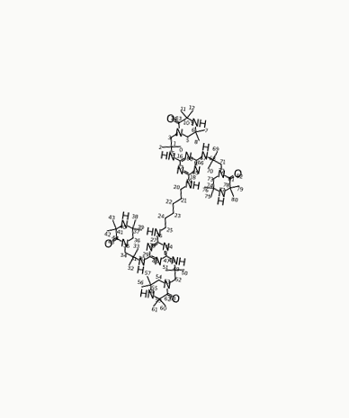 CC(C)(CN1CC(C)(C)NC(C)(C)C1=O)Nc1nc(NCCCCCCNc2nc(NC(C)(C)CN3CC(C)(C)NC(C)(C)C3=O)nc(NC(C)(C)CN3CC(C)(C)NC(C)(C)C3=O)n2)nc(NC(C)(C)CN2CC(C)(C)NC(C)(C)C2=O)n1